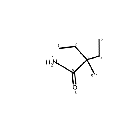 [CH2]C(CC)(CC)C(N)=O